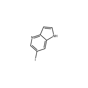 Ic1cnc2cc[nH]c2c1